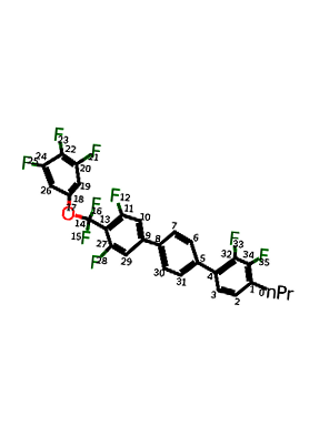 CCCc1ccc(-c2ccc(-c3cc(F)c(C(F)(F)Oc4cc(F)c(F)c(F)c4)c(F)c3)cc2)c(F)c1F